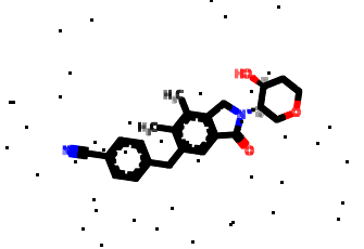 Cc1c(Cc2ccc(C#N)cc2)cc2c(c1C)CN([C@H]1COCC[C@@H]1O)C2=O